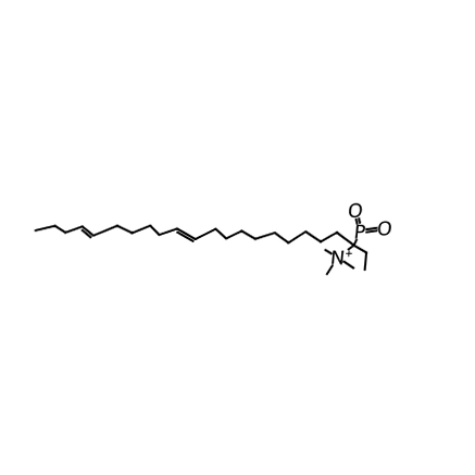 CCCC=CCCCCC=CCCCCCCCCCC(CC)(P(=O)=O)[N+](C)(C)C